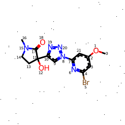 COc1cc(Br)nc(-n2cc(C3(O)CCN(C)C3=O)nn2)c1